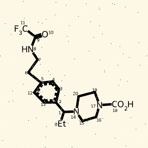 CCC(c1ccc(CCNC(=O)C(F)(F)F)cc1)N1CCN(C(=O)O)CC1